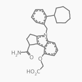 NC(=O)C1CCc2c1c1c(OCC(=O)O)cccc1n2Cc1ccccc1C1CCCCCC1